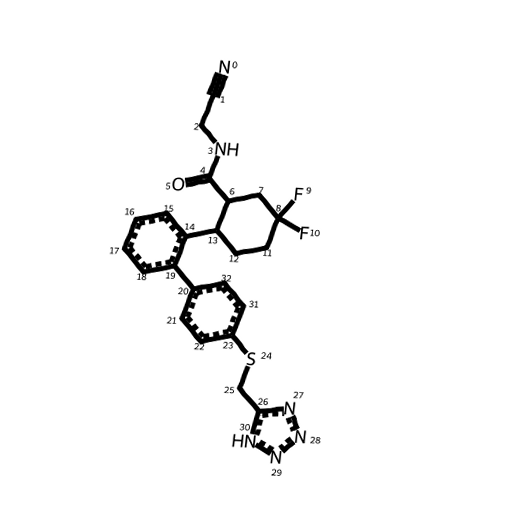 N#CCNC(=O)C1CC(F)(F)CCC1c1ccccc1-c1ccc(SCc2nnn[nH]2)cc1